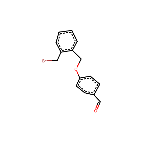 O=Cc1ccc(OCc2ccccc2CBr)cc1